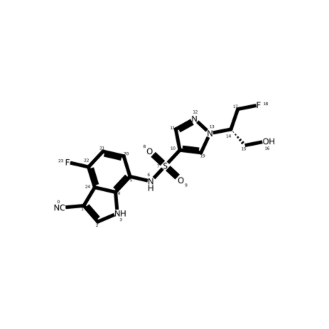 N#Cc1c[nH]c2c(NS(=O)(=O)c3cnn([C@@H](CO)CF)c3)ccc(F)c12